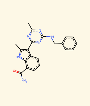 Cc1nc(NCc2ccccc2)nc(-c2c(C)[nH]c3c(C(N)=O)cccc23)n1